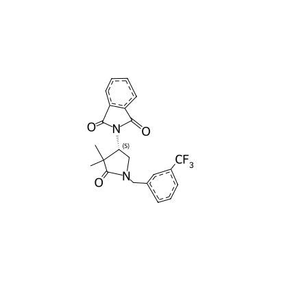 CC1(C)C(=O)N(Cc2cccc(C(F)(F)F)c2)C[C@H]1N1C(=O)c2ccccc2C1=O